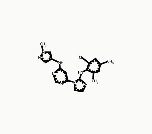 Cc1cc(C)c(Nc2nccn2-c2cc(Nc3cnn(C)c3)ncn2)c(Cl)c1